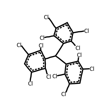 Clc1cc(Cl)c(Cl)c(C(c2c(Cl)c(Cl)cc(Cl)c2Cl)c2c(Cl)c(Cl)cc(Cl)c2Cl)c1Cl